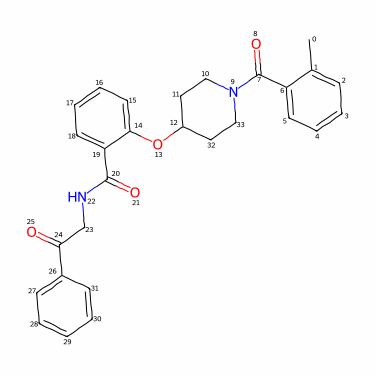 Cc1ccccc1C(=O)N1CCC(Oc2ccccc2C(=O)NCC(=O)c2ccccc2)CC1